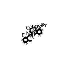 C=C(C(=O)c1cn(C)c(-c2c(F)cccc2F)n1)S(=O)(=O)c1c(Cl)cccc1SC(C)C